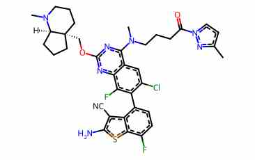 Cc1ccn(C(=O)CCCN(C)c2nc(OC[C@]34CCC[C@H]3N(C)CCC4)nc3c(F)c(-c4ccc(F)c5sc(N)c(C#N)c45)c(Cl)cc23)n1